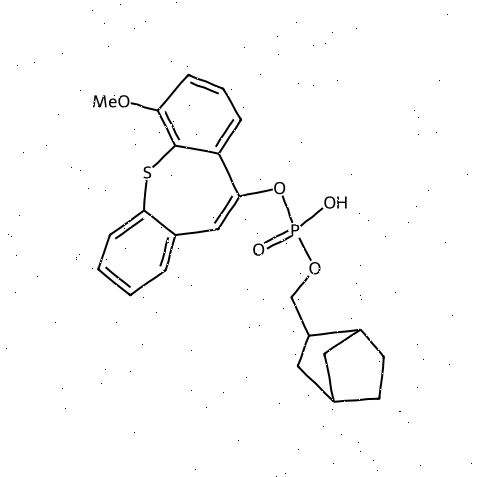 COc1cccc2c1Sc1ccccc1C=C2OP(=O)(O)OCC1CC2CCC1C2